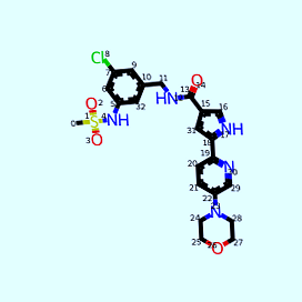 CS(=O)(=O)Nc1cc(Cl)cc(CNC(=O)c2c[nH]c(-c3ccc(N4CCOCC4)cn3)c2)c1